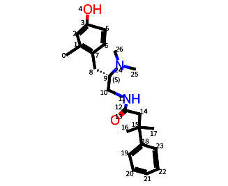 Cc1cc(O)ccc1C[C@@H](CNC(=O)CC(C)(C)c1ccccc1)N(C)C